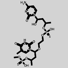 COP(O)(=S)OC(C)CC(OCCOP(O)(=S)OC(C)CC(O)n1ccc(N)nc1=O)n1cc(C)c(=O)[nH]c1=O